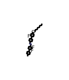 CCCCCCCCOc1ccc(-c2ccc(/C=C/c3ccc(-c4ccc(C)cc4)c(F)c3F)cc2)c(F)c1